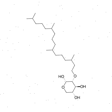 CC(C)CCCC(C)CCCC(C)CCCC(C)CCO[C@@H]1[C@@H](O)[C@H](O)CO[C@@H]1O